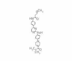 COCCC(=O)Nc1ccc(-c2ccnc([AsH]c3ccc(N4CCN(C(=O)C(C)C)CC4)cc3)n2)cc1